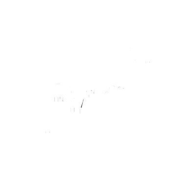 CCOC(=O)c1ccc(C[N@+]23CC[C@H](CC2)[C@H](NCc2ccccc2OC)[C@@]3(I)C(c2ccccc2)c2ccccc2)cc1